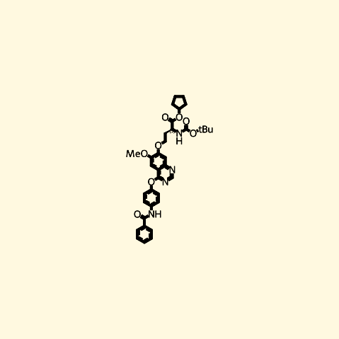 COc1cc2c(Oc3ccc(NC(=O)c4ccccc4)cc3)ncnc2cc1OCC[C@H](NC(=O)OC(C)(C)C)C(=O)OC1CCCC1